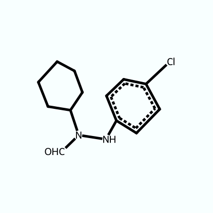 O=CN(Nc1ccc(Cl)cc1)C1CCCCC1